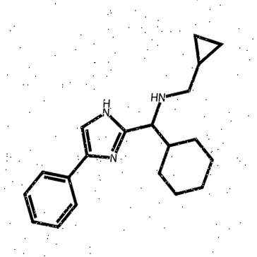 c1ccc(-c2c[nH]c(C(NCC3CC3)C3CCCCC3)n2)cc1